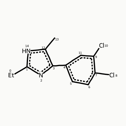 CCc1nc(-c2ccc(Cl)c(Cl)c2)c(C)[nH]1